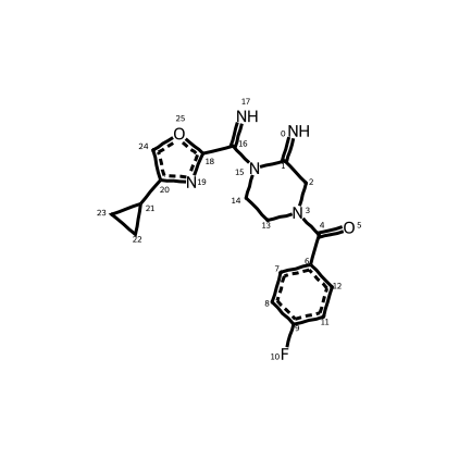 N=C1CN(C(=O)c2ccc(F)cc2)CCN1C(=N)c1nc(C2CC2)co1